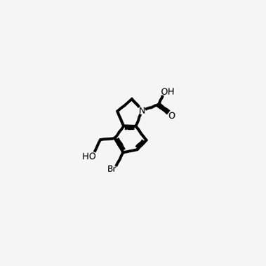 O=C(O)N1CCc2c1ccc(Br)c2CO